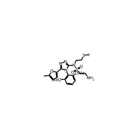 COc1cccc(OC)c1-n1c(-c2ccc(C)o2)nnc1N(CCSI)S(=O)(=O)CCN